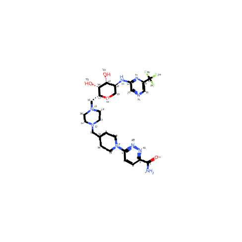 NC(=O)c1ccc(N2CCC(CN3CCN(C[C@H]4OC[C@H](Nc5cncc(C(F)(F)F)n5)[C@@H](O)[C@H]4O)CC3)CC2)nn1